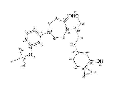 O=C1CCN(c2cccc(OC(F)(F)F)c2)CCN1[C@H](CO)CCN1CCC2(CC2)C(O)C1